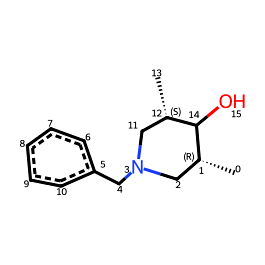 C[C@@H]1CN(Cc2ccccc2)C[C@H](C)C1O